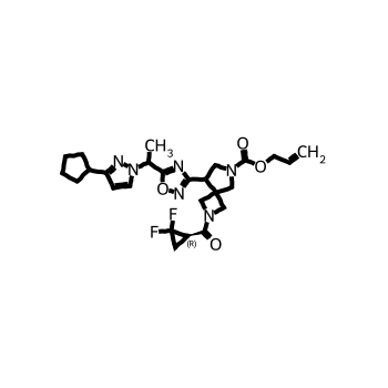 C=CCOC(=O)N1CC(c2noc(C(C)n3ccc(C4CCCC4)n3)n2)C2(C1)CN(C(=O)[C@H]1CC1(F)F)C2